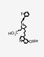 COc1ccc2nccc(CCCC3CCN(CC#Cc4ccccc4F)CC3CCC(=O)O)c2c1